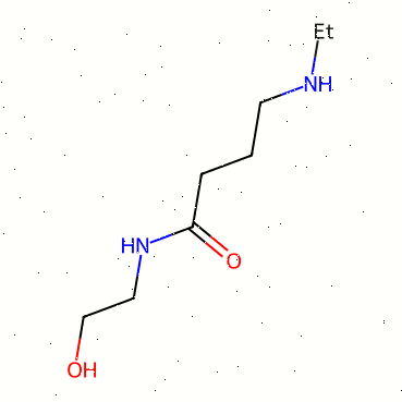 CCNCCCC(=O)NCCO